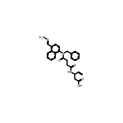 C=CC(CC(=O)O)NC(=O)CCC(=O)N(Cc1ccccc1)c1ccc(C=NN)c2ccccc12